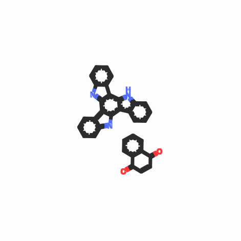 O=C1C=CC(=O)c2ccccc21.c1ccc2c(c1)N=c1c-2c2[nH]c3ccccc3c2c2c1=c1ccccc1=N2